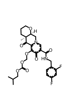 CC(C)COC(=O)OCOc1c2n(cc(C(=O)NCc3ccc(F)cc3F)c1=O)C[C@@H]1OCCC[C@]1(C)C2=O